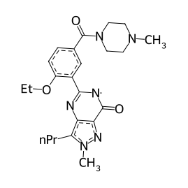 CCCc1c2c(nn1C)C(=O)[N]C(c1cc(C(=O)N3CCN(C)CC3)ccc1OCC)=N2